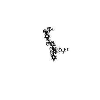 CCOC(=O)[C@@](C)(NC(=O)c1ccccc1)NC(=O)[C@@H]1CCCN(C(=O)CCC2CCN(C(=O)OC(C)(C)C)CC2)C1